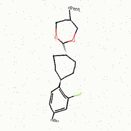 CCCCCC1COC([C@H]2CC[C@H](c3ccc(CCCC)cc3F)CC2)OC1